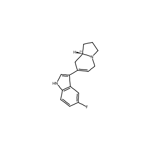 Fc1ccc2[nH]cc(C3=CCN4CCC[C@H]4C3)c2c1